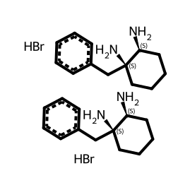 Br.Br.N[C@H]1CCCC[C@]1(N)Cc1ccccc1.N[C@H]1CCCC[C@]1(N)Cc1ccccc1